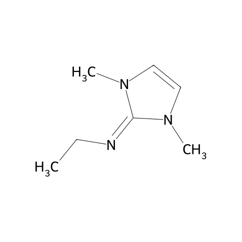 CCN=c1n(C)ccn1C